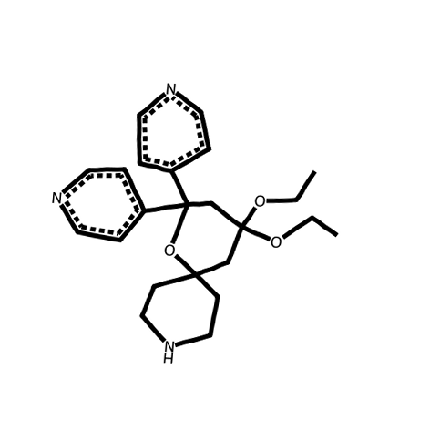 CCOC1(OCC)CC2(CCNCC2)OC(c2ccncc2)(c2ccncc2)C1